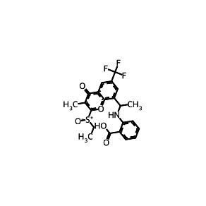 CC[S+]([O-])c1oc2c(C(C)Nc3ccccc3C(=O)O)cc(C(F)(F)F)cc2c(=O)c1C